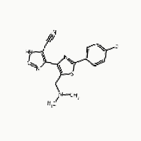 CN(C)Cc1sc(-c2ccc(Cl)cc2)nc1-c1nn[nH]c1C#N